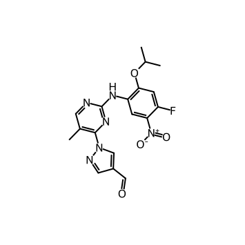 Cc1cnc(Nc2cc([N+](=O)[O-])c(F)cc2OC(C)C)nc1-n1cc(C=O)cn1